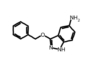 Nc1ccc2[nH]nc(OCc3ccccc3)c2c1